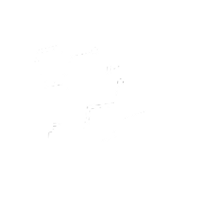 Cc1ccccc1[O][Ti+2][O]c1ccccc1C.[F-].[F-]